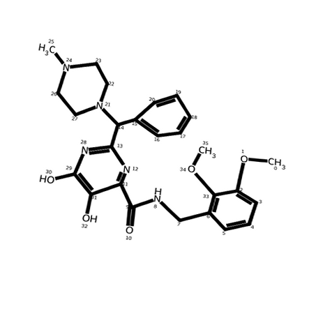 COc1cccc(CNC(=O)c2nc(C(c3ccccc3)N3CCN(C)CC3)nc(O)c2O)c1OC